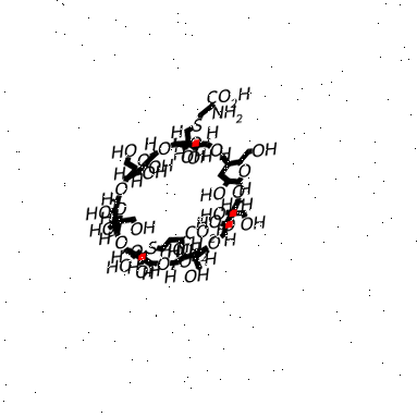 N[C@H](CCSC1O[C@@H]2O[C@@H]3C(CO)O[C@@H](O[C@@H]4C(CO)O[C@@H](O[C@@H]5C(CSC[C@@H](N)C(=O)O)O[C@@H](O[C@H]6CC(O)[C@H](OC6CO)O[C@@H]6C(CO)O[C@H](O[C@@H]7C(CO)O[C@H](O[C@H]1[C@H](O)C2O)C(O)[C@H]7O)C(O)[C@H]6O)C(O)[C@H]5O)C(O)[C@H]4O)C(O)[C@H]3O)C(=O)O